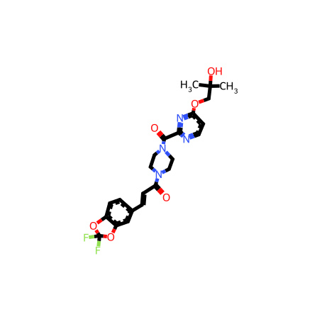 CC(C)(O)COc1ccnc(C(=O)N2CCN(C(=O)/C=C/c3ccc4c(c3)OC(F)(F)O4)CC2)n1